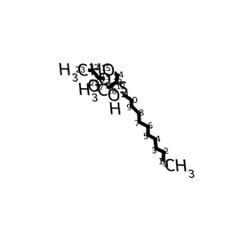 CCCCCCCCCCCCSC(CO)C(C)(O)OC(=O)CC